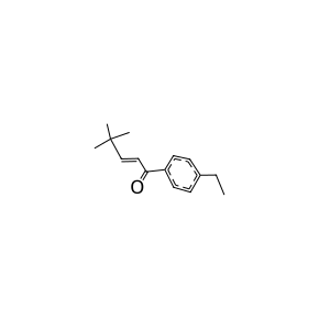 CCc1ccc(C(=O)/C=C/C(C)(C)C)cc1